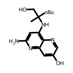 CCCCC(C)(CO)Nc1cc(N)nc2cc(O)cnc12